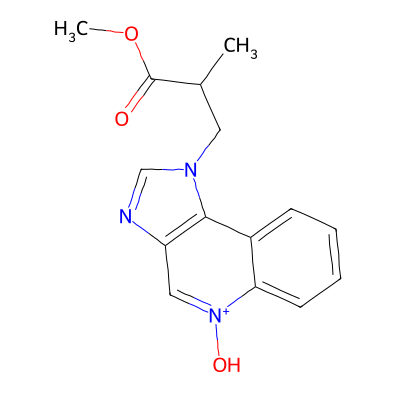 COC(=O)C(C)Cn1cnc2c[n+](O)c3ccccc3c21